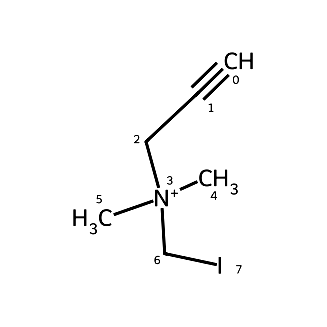 C#CC[N+](C)(C)CI